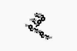 Brc1ccc2c(c1)CCN2Cc1c[nH]cn1.CC1Cc2ccccc2N1Cc1c[nH]cn1.Clc1ccc2c(c1)CCN2Cc1c[nH]cn1.c1ccc2c(c1)CCN2Cc1cnc[nH]1